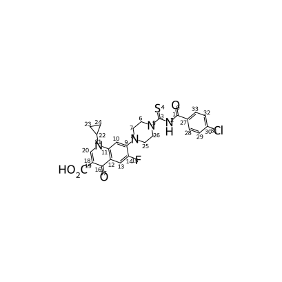 O=C(NC(=S)N1CCN(c2cc3c(cc2F)c(=O)c(C(=O)O)cn3C2CC2)CC1)c1ccc(Cl)cc1